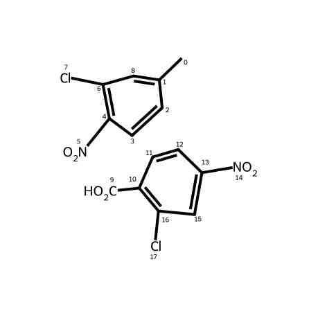 Cc1ccc([N+](=O)[O-])c(Cl)c1.O=C(O)c1ccc([N+](=O)[O-])cc1Cl